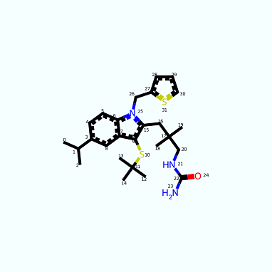 CC(C)c1ccc2c(c1)c(SC(C)(C)C)c(CC(C)(C)CNC(N)=O)n2Cc1cccs1